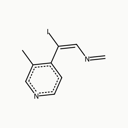 C=N/C=C(/I)c1ccncc1C